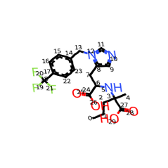 CCCC(C)(NC(Cc1cncn1Cc1ccc(C(F)(F)F)cc1)C(=O)O)C(=O)O